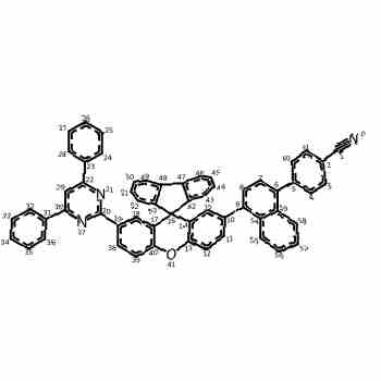 N#Cc1ccc(-c2ccc(-c3ccc4c(c3)C3(c5cc(-c6nc(-c7ccccc7)cc(-c7ccccc7)n6)ccc5O4)c4ccccc4-c4ccccc43)c3ccccc23)cc1